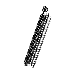 C=COC(=O)OCCCC[SiH2]O[SiH2]O[SiH2]O[SiH2]O[SiH2]O[SiH2]O[SiH2]O[SiH2]O[SiH2]O[SiH2]O[SiH2]O[SiH2]O[SiH2]O[SiH2]O[SiH2]O[SiH2]O[SiH2]O[SiH2]O[SiH2]O[SiH2]O[SiH2]O[SiH2]O[SiH2]O[SiH2]O[SiH3]